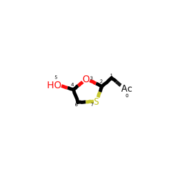 CC(=O)CC1OC(O)CS1